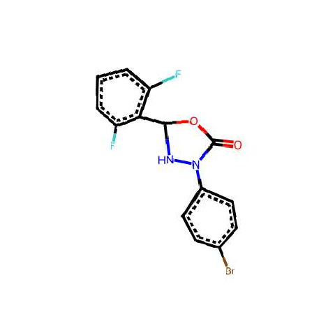 O=C1OC(c2c(F)cccc2F)NN1c1ccc(Br)cc1